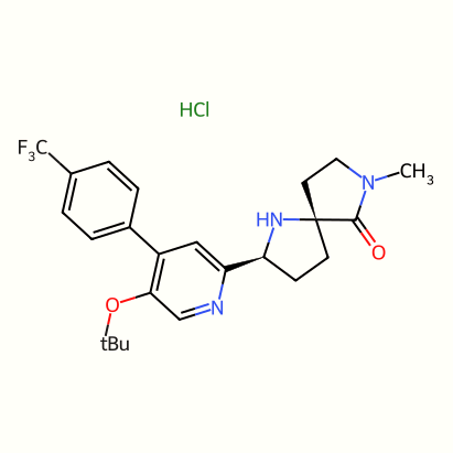 CN1CC[C@]2(CC[C@@H](c3cc(-c4ccc(C(F)(F)F)cc4)c(OC(C)(C)C)cn3)N2)C1=O.Cl